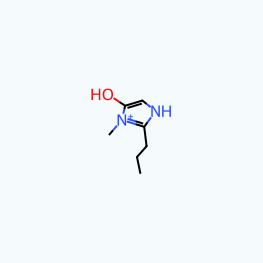 CCCc1[nH]cc(O)[n+]1C